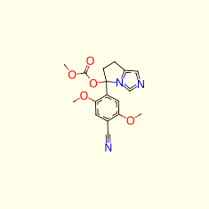 COC(=O)OC1(c2cc(OC)c(C#N)cc2OC)CCc2cncn21